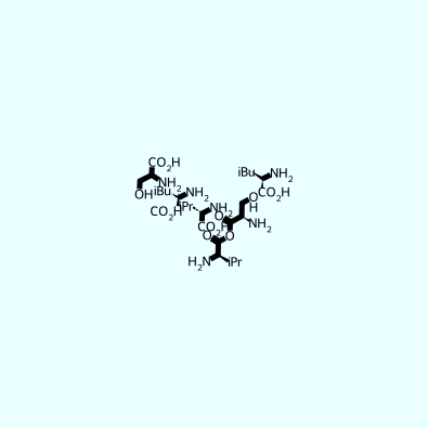 CC(C)[C@@H](N)C(=O)OC(=O)[C@@H](N)CO.CC(C)[C@H](N)C(=O)O.CC[C@@H](C)[C@@H](N)C(=O)O.CC[C@H](C)[C@H](N)C(=O)O.NC(CO)C(=O)O